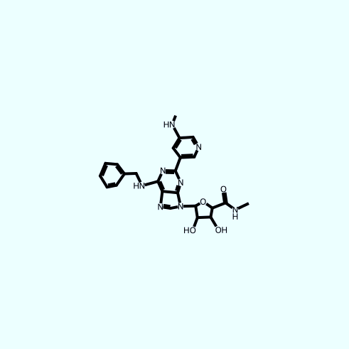 CNC(=O)C1OC(n2cnc3c(NCc4ccccc4)nc(-c4cncc(NC)c4)nc32)C(O)C1O